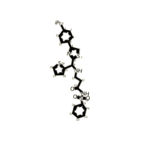 CC(C)c1ccc(-c2csc(C(NCCC(=O)NS(=O)(=O)c3ccccc3)c3cccs3)n2)cc1